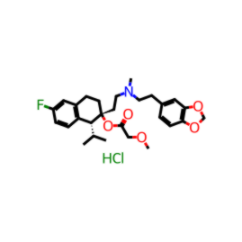 COCC(=O)O[C@@]1(CCN(C)CCc2ccc3c(c2)OCO3)CCc2cc(F)ccc2[C@H]1C(C)C.Cl